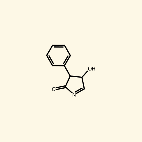 O=C1N=CC(O)C1c1ccccc1